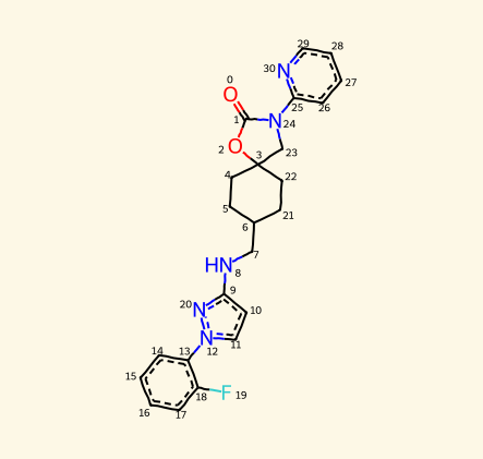 O=C1OC2(CCC(CNc3ccn(-c4ccccc4F)n3)CC2)CN1c1ccccn1